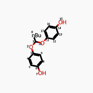 CCCCC(Oc1ccc(O)cc1)Oc1ccc(O)cc1